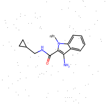 CCCn1c(C(=O)NCC2CC2)c(N)c2ccccc21